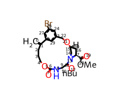 C=C1CCCOC(=O)N[C@@H](CCCC)C(=O)N2C[C@@H](C[C@H]2C(=O)OC)OCc2cc(Br)cc1c2